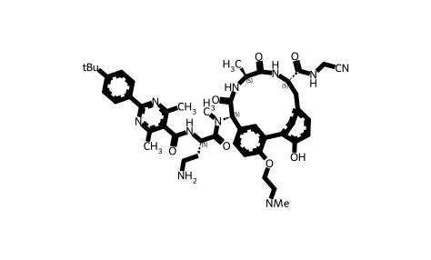 CNCCOc1ccc2cc1-c1cc(ccc1O)C[C@@H](C(=O)NCC#N)NC(=O)[C@H](C)NC(=O)[C@H]2N(C)C(=O)[C@H](CCN)NC(=O)c1c(C)nc(-c2ccc(C(C)(C)C)cc2)nc1C